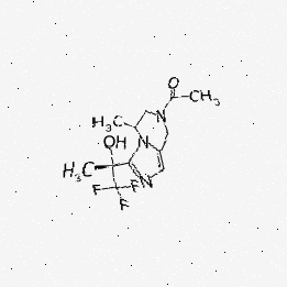 CC(=O)N1Cc2cnc([C@@](C)(O)C(F)(F)F)n2[C@@H](C)C1